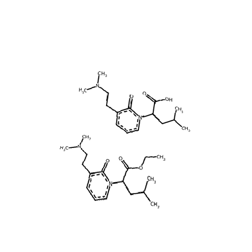 CC(C)CC(C(=O)O)n1cccc(CCN(C)C)c1=O.CCOC(=O)C(CC(C)C)n1cccc(CCN(C)C)c1=O